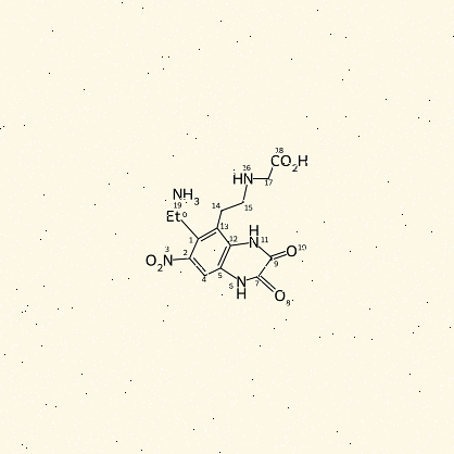 CCc1c([N+](=O)[O-])cc2[nH]c(=O)c(=O)[nH]c2c1CCNCC(=O)O.N